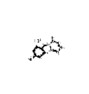 Br.N#Cc1ccc(CN2N=NN=NN2)cc1